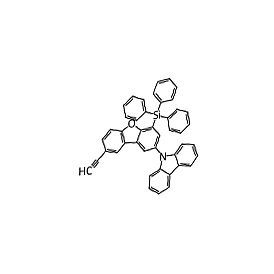 C#Cc1ccc2oc3c([Si](c4ccccc4)(c4ccccc4)c4ccccc4)cc(-n4c5ccccc5c5ccccc54)cc3c2c1